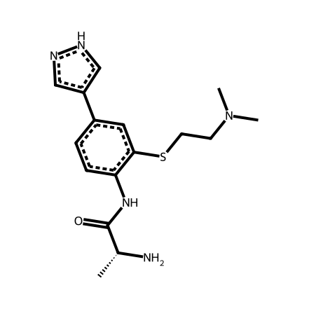 C[C@@H](N)C(=O)Nc1ccc(-c2cn[nH]c2)cc1SCCN(C)C